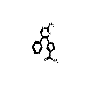 NC(=O)c1ccn(-c2nc(N)ncc2-c2ccccc2)c1